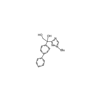 CC(C)(C)n1cnc(C(O)(CO)c2ccc(-c3ccccc3)cc2)n1